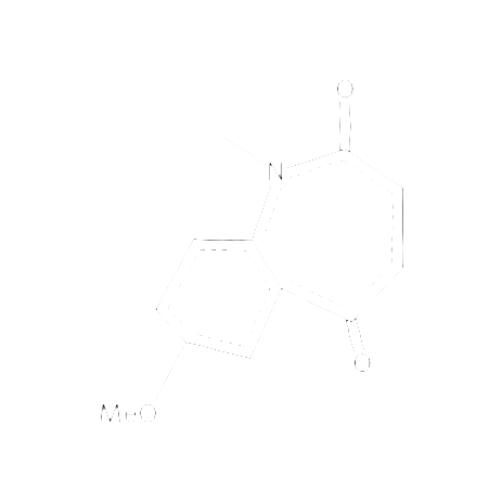 COc1ccc2c(c1)c(=O)ccc(=O)n2C